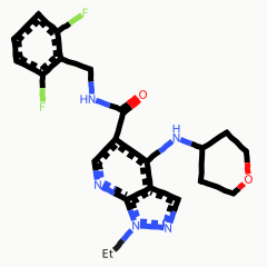 CCn1ncc2c(NC3CCOCC3)c(C(=O)NCc3c(F)cccc3F)cnc21